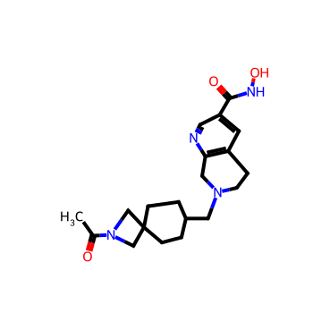 CC(=O)N1CC2(CCC(CN3CCc4cc(C(=O)NO)cnc4C3)CC2)C1